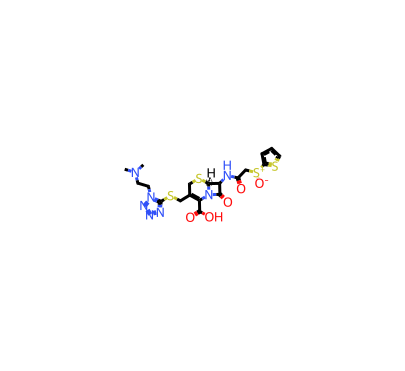 CN(C)CCn1nnnc1SCC1=C(C(=O)O)N2C(=O)C(NC(=O)C[S+]([O-])c3cccs3)[C@@H]2SC1